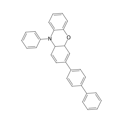 C1=CC2C(C=C1c1ccc(-c3ccccc3)cc1)Oc1ccccc1N2c1ccccc1